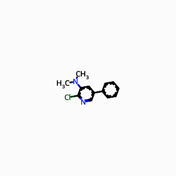 CN(C)c1cc(-c2ccccc2)cnc1Cl